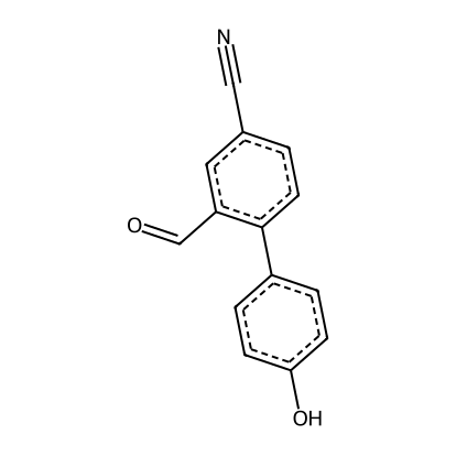 N#Cc1ccc(-c2ccc(O)cc2)c(C=O)c1